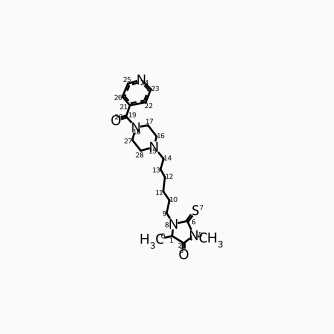 CC1C(=O)N(C)C(=S)N1CCCCCCN1CCN(C(=O)c2ccncc2)CC1